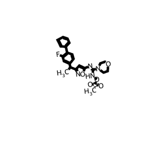 CC(c1ccc(-c2ccccc2)c(F)c1)c1cc(N=C(NOS(C)(=O)=O)N2CCOCC2)on1